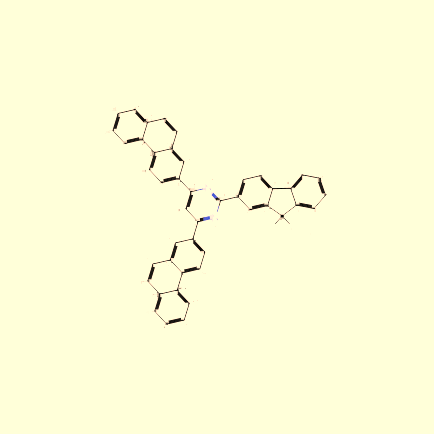 CC1(C)c2ccccc2-c2ccc(-c3nc(-c4ccc5c(ccc6ccccc65)c4)cc(-c4ccc5c(ccc6ccccc65)c4)n3)cc21